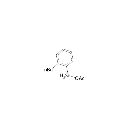 CCCCc1ccccc1[SiH2]OC(C)=O